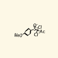 COc1ccc([S+]([O-])C(Cl)(Cl)[13C](C)=O)cc1